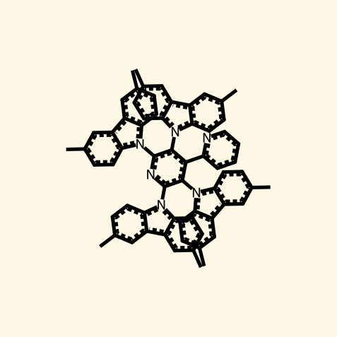 Cc1ccc2c(c1)c1cc(C)ccc1n2-c1nc(-n2c3ccc(C)cc3c3cc(C)ccc32)c(-n2c3ccc(C)cc3c3cc(C)ccc32)c(-c2ccccn2)c1-n1c2ccc(C)cc2c2cc(C)ccc21